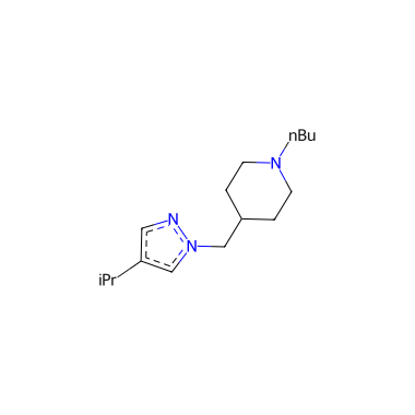 CCCCN1CCC(Cn2cc(C(C)C)cn2)CC1